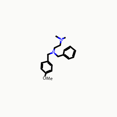 COc1ccc(CN(CCN(C)C)Cc2ccccc2)cc1